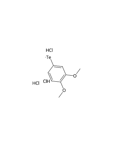 COc1ccc([Te])cc1OC.Cl.Cl.Cl